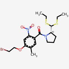 CCSC(SCC)[C@@H]1CCCN1C(=O)c1cc(C)c(OCCBr)cc1[N+](=O)[O-]